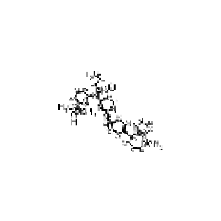 C=CCn1c(=O)c2cnc(Nc3ccc(C4CCCN(C)C5C6CCN(CC6)C45)cc3)nc2n1-c1cccc(C(C)(C)O)n1